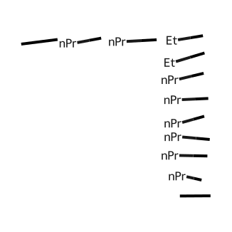 CC.CC.CCC.CCC.CCCC.CCCC.CCCC.CCCC.CCCC.CCCC.CCCC.CCCC